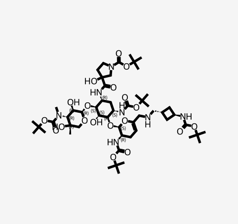 CN(C(=O)OC(C)(C)C)[C@@H]1[C@@H](O)[C@@H](O[C@@H]2[C@@H](O)[C@H](O[C@H]3OC(CNC[C@H]4C[C@H](NC(=O)OC(C)(C)C)C4)=CC[C@H]3NC(=O)OC(C)(C)C)[C@@H](NC(=O)OC(C)(C)C)C[C@H]2NC(=O)C2(O)CCN(C(=O)OC(C)(C)C)C2)OC[C@]1(C)O